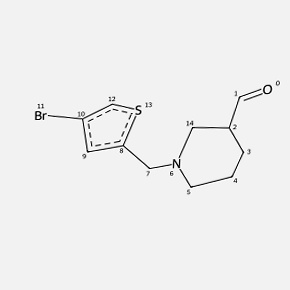 O=CC1CCCN(Cc2cc(Br)cs2)C1